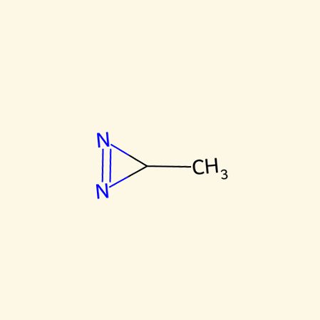 CC1N=N1